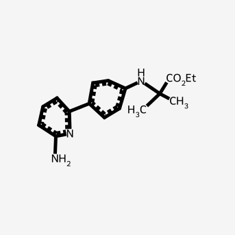 CCOC(=O)C(C)(C)Nc1ccc(-c2cccc(N)n2)cc1